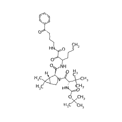 C=CCCC(NC(=O)[C@@H]1[C@@H]2C(CN1C(=O)[C@@H](NC(=O)OC(C)(C)C)C(C)(C)C)C2(C)C)C(=O)C(=O)NCCCC(=O)c1ccccc1